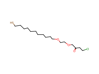 O=C(CCCl)COCCOCCCCCCCCCCCS